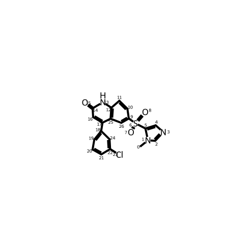 Cn1cncc1S(=O)(=O)c1ccc2[nH]c(=O)cc(-c3cccc(Cl)c3)c2c1